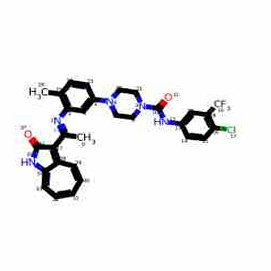 C/C(=N\c1cc(N2CCN(C(=O)Nc3ccc(Cl)c(C(F)(F)F)c3)CC2)ccc1C)c1c2cccccc-2[nH]c1=O